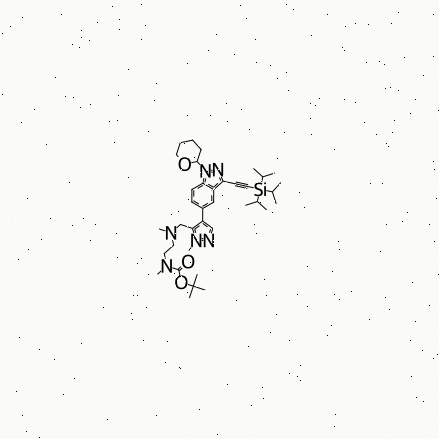 CC(C)[Si](C#Cc1nn(C2CCCCO2)c2ccc(-c3cnn(C)c3CN(C)CCN(C)C(=O)OC(C)(C)C)cc12)(C(C)C)C(C)C